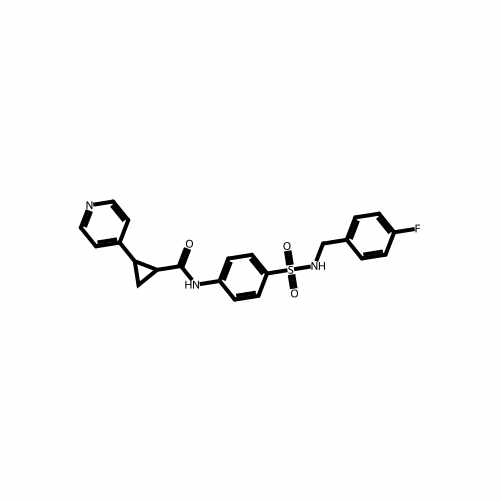 O=C(Nc1ccc(S(=O)(=O)NCc2ccc(F)cc2)cc1)C1CC1c1ccncc1